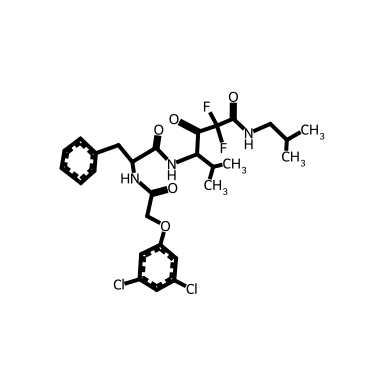 CC(C)CNC(=O)C(F)(F)C(=O)C(NC(=O)C(Cc1ccccc1)NC(=O)COc1cc(Cl)cc(Cl)c1)C(C)C